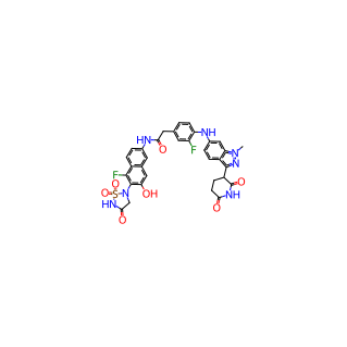 Cn1nc(C2CCC(=O)NC2=O)c2ccc(Nc3ccc(CC(=O)Nc4ccc5c(F)c(N6CC(=O)NS6(=O)=O)c(O)cc5c4)cc3F)cc21